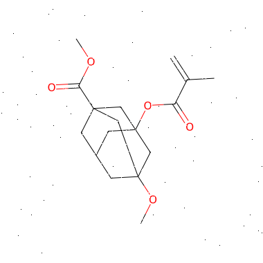 C=C(C)C(=O)OC12CC3CC(OC)(C1)CC(C(=O)OC)(C3)C2